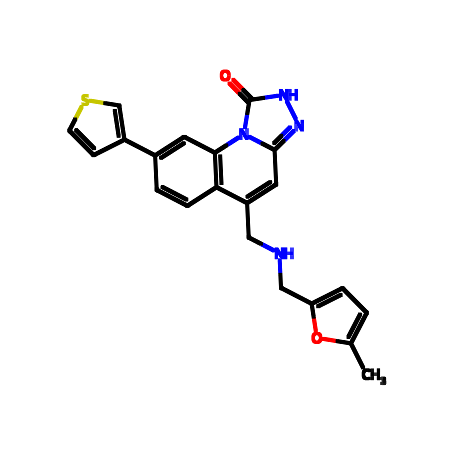 Cc1ccc(CNCc2cc3n[nH]c(=O)n3c3cc(-c4ccsc4)ccc23)o1